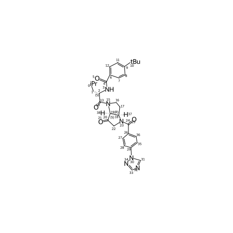 CC(C)C[C@H](NC(=O)c1ccc(C(C)(C)C)cc1)C(=O)N1CC[C@@H]2[C@H]1C(=O)CN2C(=O)c1ccc(-n2cncn2)cc1